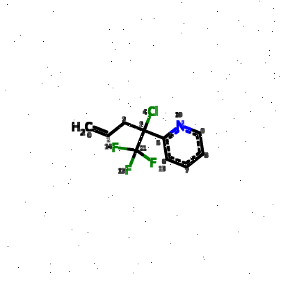 C=CCC(Cl)(c1ccccn1)C(F)(F)F